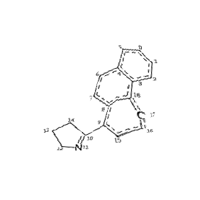 c1ccc2c(c1)ccc1c(C3=NCCC3)cccc12